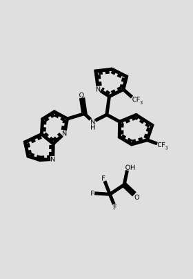 O=C(NC(c1ccc(C(F)(F)F)cc1)c1ncccc1C(F)(F)F)c1ccc2cccnc2n1.O=C(O)C(F)(F)F